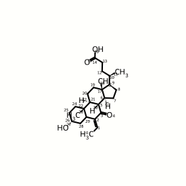 C/C=C1/C(=O)[C@H]2[C@@H]3CC[C@H]([C@H](C)CCC(=O)O)[C@@]3(C)CC[C@@H]2[C@@]2(C)CC[C@@H](O)CC12